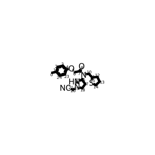 Cc1ccc(OCC(=O)N(CC2CCCS2)C2CCN(CC#N)N2)cc1